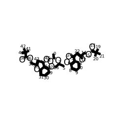 CC(=O)OC(COc1cccc2oc(COC(=O)C(C)(C)C)cc(=O)c12)COc1cccc2oc(COC(=O)C(C)(C)C)cc(=O)c12